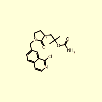 CC(C)(C[C@@H]1CCN(Cc2ccc3ccnc(Cl)c3c2)C1=O)OC(N)=O